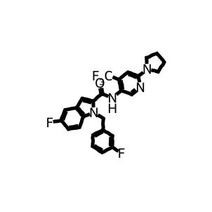 O=C(Nc1cnc(N2CCCC2)cc1C(F)(F)F)c1cc2cc(F)ccc2n1Cc1cccc(F)c1